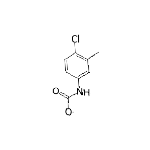 Cc1cc(NC([O])=O)ccc1Cl